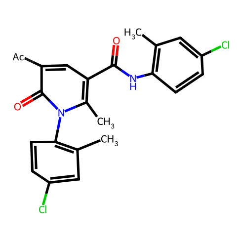 CC(=O)c1cc(C(=O)Nc2ccc(Cl)cc2C)c(C)n(-c2ccc(Cl)cc2C)c1=O